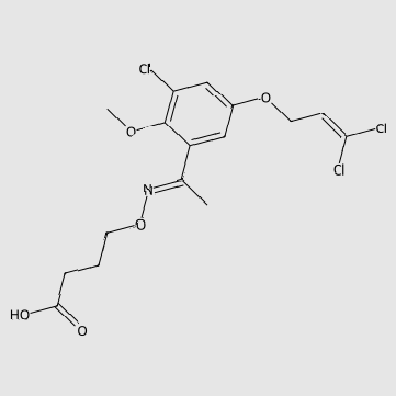 COc1c(Cl)cc(OCC=C(Cl)Cl)cc1/C(C)=N/OCCCC(=O)O